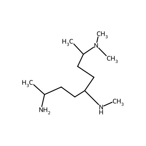 CNC(CCC(C)N)CCC(C)N(C)C